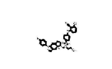 C[C@]12Cc3cnn(-c4ccc(F)cc4)c3C=C1CC[C@@H]2CN(CCO)S(=O)(=O)c1ccc(Oc2cccc(Cl)c2C#N)cc1